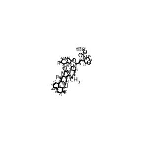 C/[N+](=C/C1CCN(C(=O)/C=C/C2COCCN2C(=O)OC(C)(C)C)C1)c1nc(OC[C@@]23CCCN2C[C@H](F)C3)nc2c(F)c(-c3cccc4ccc(F)c(Cl)c34)ncc12